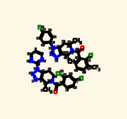 CC1c2nnn(-c3ncccn3)c2CCN1C(=O)c1ccc(Cl)cc1Cl.C[C@@H]1Cc2c(nnn2-c2ccc(F)cc2)[C@@H](C)N1C(=O)c1cccc(C(F)(F)F)c1Cl